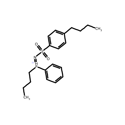 CCCCc1ccc(S(=O)(=O)/N=[PH](/CCCC)c2ccccc2)cc1